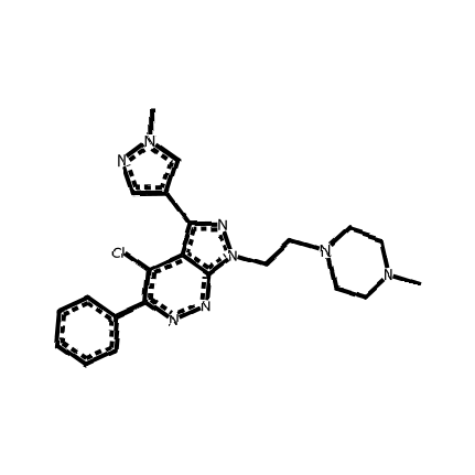 CN1CCN(CCn2nc(-c3cnn(C)c3)c3c(Cl)c(-c4ccccc4)nnc32)CC1